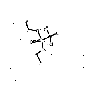 CCOP(=O)(OCC)C(Cl)(Cl)Cl